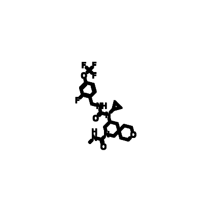 CNC(=O)N1CC(N(C(=O)NCc2ccc(OC(F)(F)F)cc2F)C2CC2)CC2(CCOCC2)C1